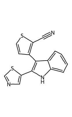 N#Cc1sccc1-c1c(-c2cncs2)[nH]c2ccccc12